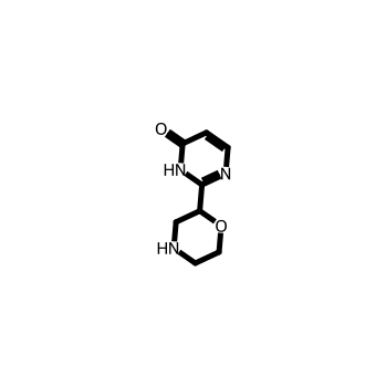 O=c1ccnc(C2CNCCO2)[nH]1